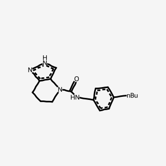 CCCCc1ccc(NC(=O)N2CCCc3n[nH]cc32)cc1